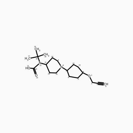 C#CCOC1CCC(N2CCC(N(C(=O)O)C(C)(C)C)CC2)CC1